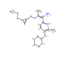 CCCC1C=C1CC/C(C)=C(/N)c1ccc(CC2CCCCC2)c(C)n1